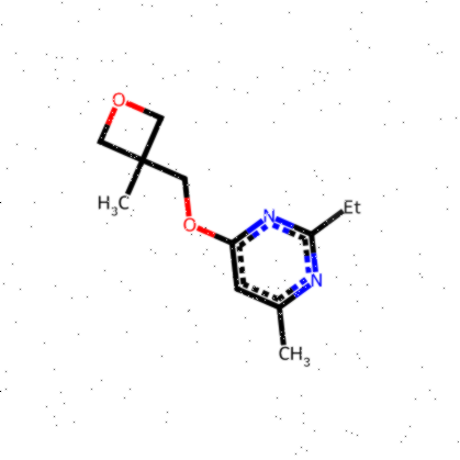 CCc1nc(C)cc(OCC2(C)COC2)n1